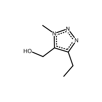 CCc1nnn(C)c1CO